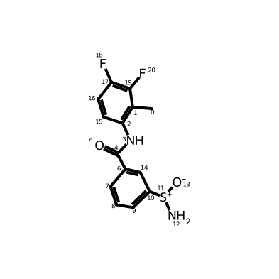 Cc1c(NC(=O)c2cccc([S+](N)[O-])c2)ccc(F)c1F